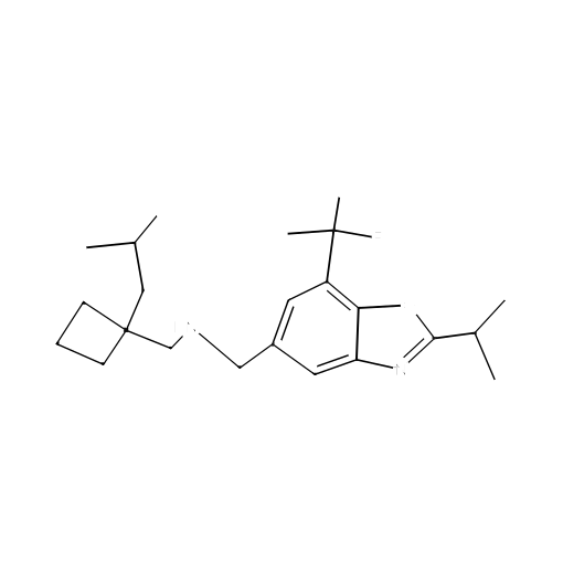 CC(C)CC1(CNCc2cc(C(F)(F)F)c3oc(C(C)C)nc3c2)CCC1